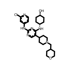 O[C@H]1CC[C@H](Nc2nc(Nc3ccnc(Cl)c3)ncc2C2CCN(CC3CCOCC3)CC2)CC1